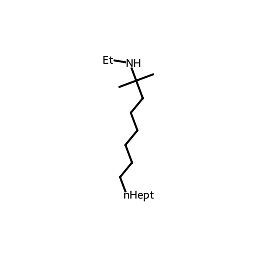 [CH2]CNC(C)(C)CCCCCCCCCCCCC